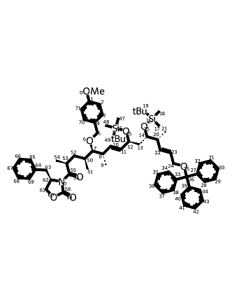 COc1ccc(CO[C@@H]([C@@H](C)C=C[C@H](C[C@H](O[Si](C)(C)C(C)(C)C)[C@H](C)C=CCOC(c2ccccc2)(c2ccccc2)c2ccccc2)O[Si](C)(C)C(C)(C)C)[C@@H](C)C[C@H](C)C(=O)N2C(=O)OC[C@H]2Cc2ccccc2)cc1